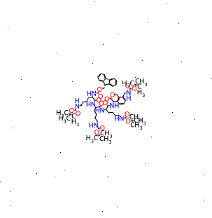 CC(C)(C)OC(=O)NCCCCC(NC(=O)OCC1c2ccccc2-c2ccccc21)C(=O)NC(CCCCNC(=O)OC(C)(C)C)C(=O)NC(CCCCNC(=O)OC(C)(C)C)C(=O)NC(CCCCNC(=O)OC(C)(C)C)C(=O)OCc1ccccc1